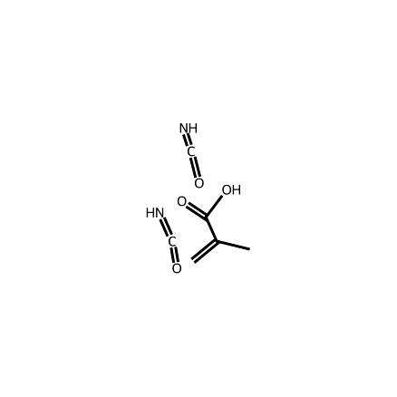 C=C(C)C(=O)O.N=C=O.N=C=O